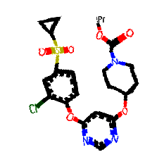 CC(C)OC(=O)N1CCC(Oc2cc(Oc3ccc(S(=O)(=O)C4CC4)cc3Cl)ncn2)CC1